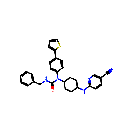 N#Cc1ccc(NC2CCC(N(C(=O)NCc3ccccc3)c3ccc(-c4cccs4)cc3)CC2)nc1